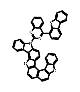 c1ccc2c(-c3cccc4c3sc3ccccc34)nc(-n3c4ccccc4c4c5oc6ccc7ccc8oc9ccccc9c8c7c6c5ccc43)nc2c1